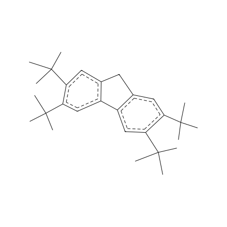 CC(C)(C)c1cc2c(cc1C(C)(C)C)-c1cc(C(C)(C)C)c(C(C)(C)C)cc1C2